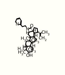 C=C(C)[C@@H]1CC[C@]2(C(=O)NCCc3ccccn3)CC[C@]3(C)[C@H](CC[C@@H]4[C@@]5(C)CC[C@H](O)C(C)(C)[C@@H]5CC[C@]43C)[C@@H]12